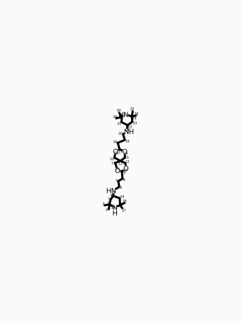 CC1(C)CC(NCCCC2OCC3(CO2)COC(CCCNC2CC(C)(C)NC(C)(C)C2)OC3)CC(C)(C)N1